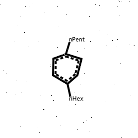 CCCCCCc1ccc(CCCCC)cc1